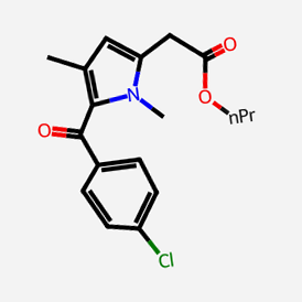 CCCOC(=O)Cc1cc(C)c(C(=O)c2ccc(Cl)cc2)n1C